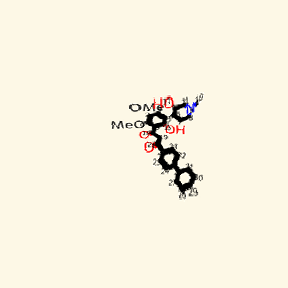 COc1cc(OC)c([C@H]2CCN(C)C[C@H]2O)c(O)c1C(=O)CC(=O)c1ccc(C2CCCCC2)cc1